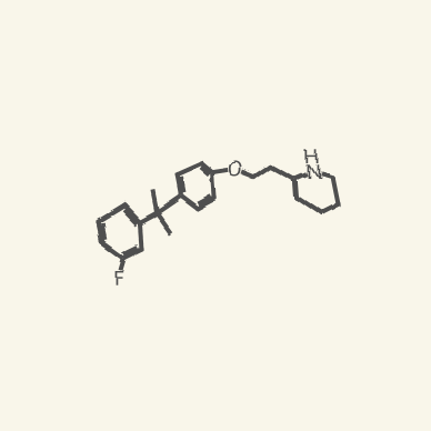 CC(C)(c1ccc(OCCC2CCCCN2)cc1)c1cccc(F)c1